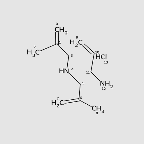 C=C(C)CNCC(=C)C.C=CCN.Cl